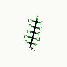 FC(F)(F)C(F)(F)C(Cl)(Cl)C(F)(F)C(F)(Cl)C(F)(F)Cl